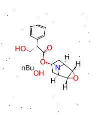 CCCCO.CN1[C@@H]2C[C@@H](OC(=O)[C@H](CO)c3ccccc3)C[C@H]1[C@@H]1O[C@@H]12